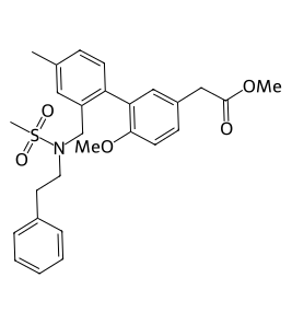 COC(=O)Cc1ccc(OC)c(-c2ccc(C)cc2CN(CCc2ccccc2)S(C)(=O)=O)c1